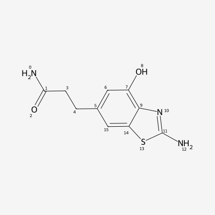 NC(=O)CCc1cc(O)c2nc(N)sc2c1